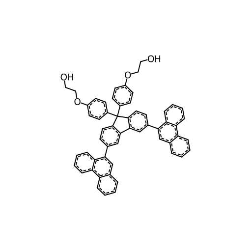 OCCOc1ccc(C2(c3ccc(OCCO)cc3)c3ccc(-c4cc5ccccc5c5ccccc45)cc3-c3cc(-c4cc5ccccc5c5ccccc45)ccc32)cc1